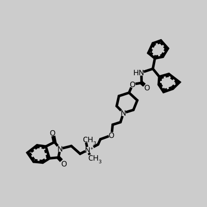 C[N+](C)(CCOCCN1CCC(OC(=O)NC(c2ccccc2)c2ccccc2)CC1)CCN1C(=O)c2ccccc2C1=O